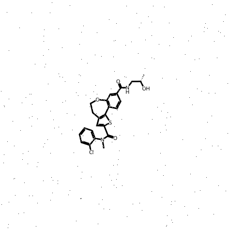 C[C@H](O)CNC(=O)c1ccc2c(c1)OCCc1cc(C(=O)N(C)c3ccccc3Cl)sc1-2